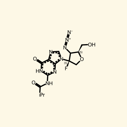 CC(C)C(=O)Nc1nc2c(ncn2[C@@]2(F)CO[C@H](CO)C2N=[N+]=[N-])c(=O)[nH]1